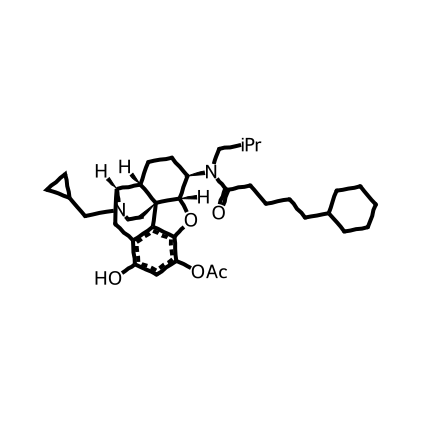 CC(=O)Oc1cc(O)c2c3c1O[C@H]1[C@H](N(CC(C)C)C(=O)CCCCC4CCCCC4)CC[C@H]4[C@@H](C2)N(CC2CC2)CC[C@@]341